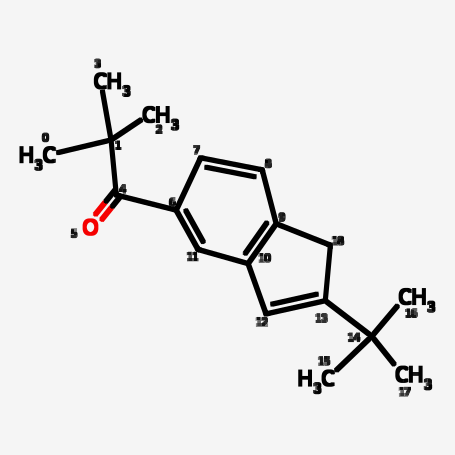 CC(C)(C)C(=O)c1ccc2c(c1)C=C(C(C)(C)C)C2